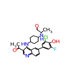 CC(=O)c1cnc2ccc(-c3cc(F)c(O)c(Cl)c3)cc2c1NC1CCC(NC(C)C=O)CC1